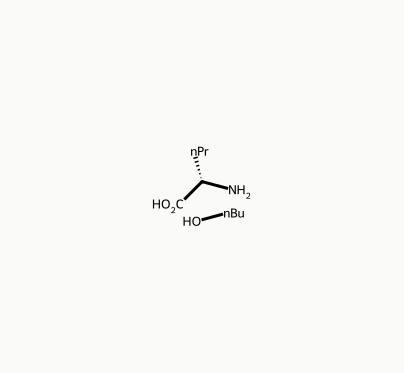 CCCCO.CCC[C@H](N)C(=O)O